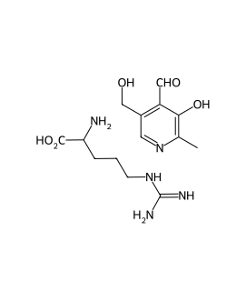 Cc1ncc(CO)c(C=O)c1O.N=C(N)NCCCC(N)C(=O)O